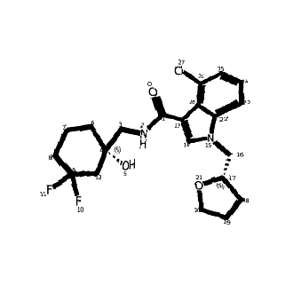 O=C(NC[C@]1(O)CCCC(F)(F)C1)c1cn(C[C@@H]2CCCO2)c2cccc(Cl)c12